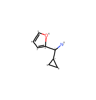 [N]C(c1ccco1)C1CC1